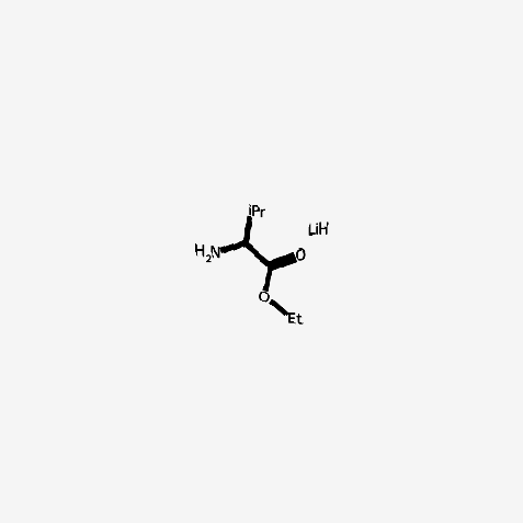 CCOC(=O)C(N)C(C)C.[LiH]